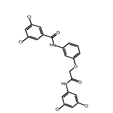 O=C(COc1cccc(NC(=O)c2cc(Cl)cc(Cl)c2)c1)Nc1cc(Cl)cc(Cl)c1